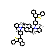 Cc1cccc(C)c1N(c1ccc(-c2cc3ccccc3c3c2sc2ccccc23)cc1)c1ccc2ccc3c(N(c4ccc(-c5cc6ccccc6c6c5sc5ccccc56)cc4)c4c(C)cccc4C)ccc4ccc1c2c43